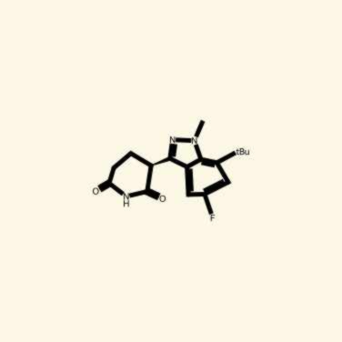 Cn1nc([C@@H]2CCC(=O)NC2=O)c2cc(F)cc(C(C)(C)C)c21